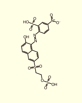 O=[N+]([O-])c1ccc(N=Nc2c(O)ccc3cc(S(=O)(=O)CCOS(=O)(=O)O)ccc23)c(S(=O)(=O)O)c1